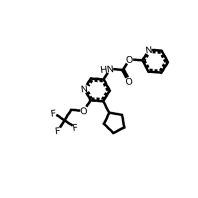 O=C(Nc1cnc(OCC(F)(F)F)c(C2CCCC2)c1)Oc1ccccn1